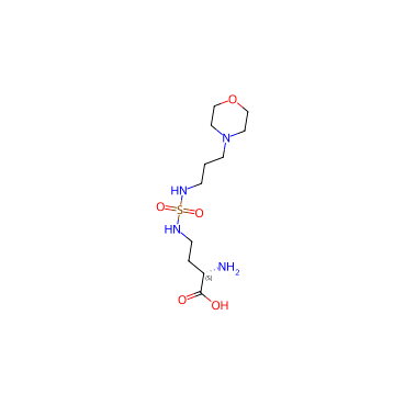 N[C@@H](CCNS(=O)(=O)NCCCN1CCOCC1)C(=O)O